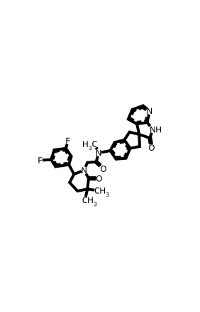 CN(C(=O)CN1C(=O)C(C)(C)CCC1c1cc(F)cc(F)c1)c1ccc2c(c1)CC1(C2)C(=O)Nc2ncccc21